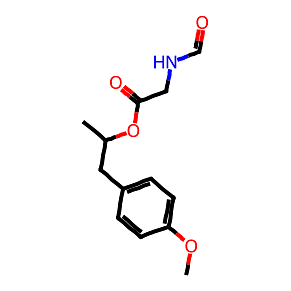 COc1ccc(CC(C)OC(=O)CNC=O)cc1